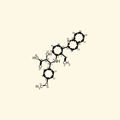 C=Cc1c(N[C@@H](c2ccc(OC)cc2)[C@H](O)C(=O)O)cccc1-c1ccc2ccccc2n1